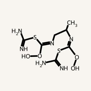 CC(CN=C(OO)SC(=N)N)N=C(OO)SC(=N)N